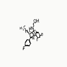 CCCCC1C(c2ccc(F)cc2)=NN(c2ccc(F)cc2F)C1(C)C(=O)NCCO